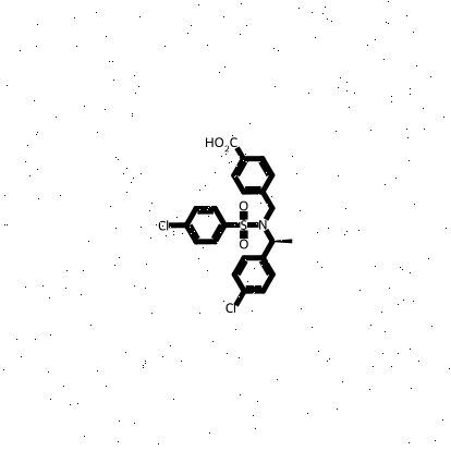 C[C@@H](c1ccc(Cl)cc1)N(Cc1ccc(C(=O)O)cc1)S(=O)(=O)c1ccc(Cl)cc1